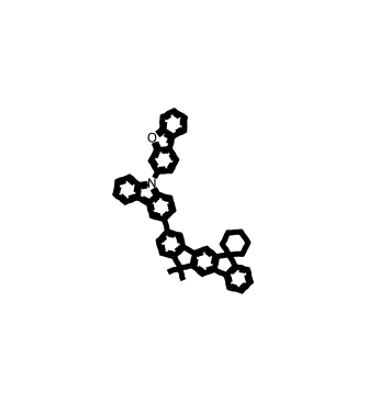 CC1(C)c2ccc(-c3ccc4c(c3)c3ccccc3n4-c3ccc4c(c3)oc3ccccc34)cc2-c2cc3c(cc21)-c1ccccc1C31CCCCC1